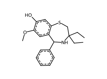 CCC1(CC)CSc2cc(O)c(OC)cc2C(c2ccccc2)N1